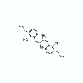 C=CCc1cccc(/C=C(N)\C(N)=C/c2cccc(CC=C)c2O)c1O